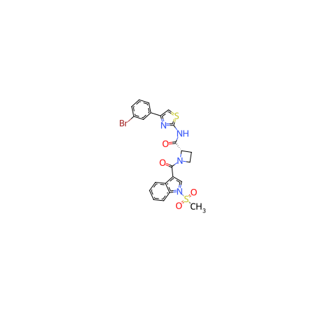 CS(=O)(=O)n1cc(C(=O)N2CC[C@H]2C(=O)Nc2nc(-c3cccc(Br)c3)cs2)c2ccccc21